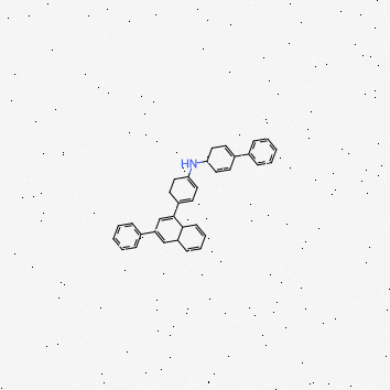 C1=CC2C=C(c3ccccc3)C=C(C3=CC=C(NC4C=CC(c5ccccc5)=CC4)CC3)C2C=C1